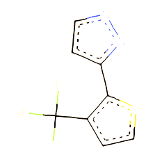 FC(F)(F)c1ccsc1-c1cc[nH]n1